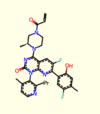 C=CC(=O)N1CCN(c2nc(=O)n(-c3c(C)ccnc3C(C)C)c3nc(-c4cc(F)c(C)cc4O)c(F)cc23)[C@@H](C)C1